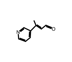 C/C(=C\C=O)c1cccnc1